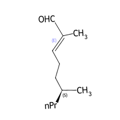 CCC[C@H](C)CC/C=C(\C)C=O